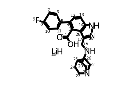 O=C(O)c1c(-c2ccc(F)cc2)ccc2[nH]nc(CNC3CN4CCC3CC4)c12.[LiH]